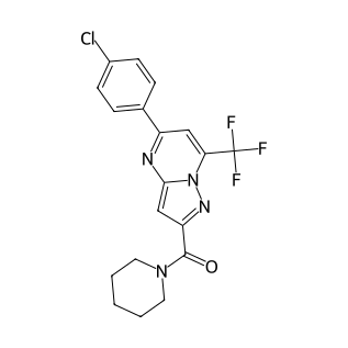 O=C(c1cc2nc(-c3ccc(Cl)cc3)cc(C(F)(F)F)n2n1)N1CCCCC1